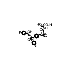 O=C(COC1(CCc2ccc([C@@H]3[C@@H](CC[C@H](O)c4ccc(F)cc4)C(=O)N3c3ccc(F)cc3)cc2)COC1)NC(CO)C(=O)O